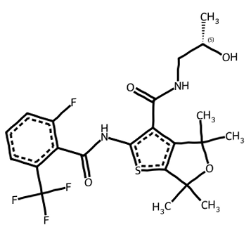 C[C@H](O)CNC(=O)c1c(NC(=O)c2c(F)cccc2C(F)(F)F)sc2c1C(C)(C)OC2(C)C